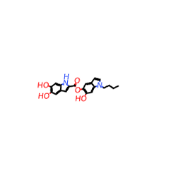 CCCCn1ccc2cc(OC(=O)c3cc4cc(O)c(O)cc4[nH]3)c(O)cc21